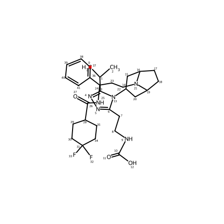 CC(C)c1nnc(CCNC(=O)O)n1C1CC2CCC(C1)N2CCC(NC(=O)C1CCC(F)(F)CC1)c1ccccc1